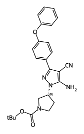 CC(C)(C)OC(=O)N1CC[C@@H](n2nc(-c3ccc(Oc4ccccc4)cc3)c(C#N)c2N)C1